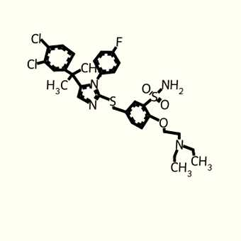 CCN(CC)CCOc1ccc(CSc2ncc(C(C)(C)c3ccc(Cl)c(Cl)c3)n2-c2ccc(F)cc2)cc1S(N)(=O)=O